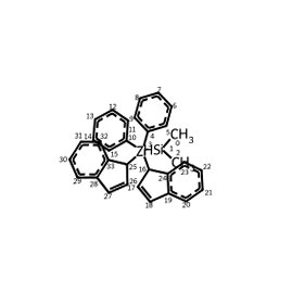 C[SiH](C)[Zr]([c]1ccccc1)([c]1ccccc1)([CH]1C=Cc2ccccc21)[CH]1C=Cc2ccccc21